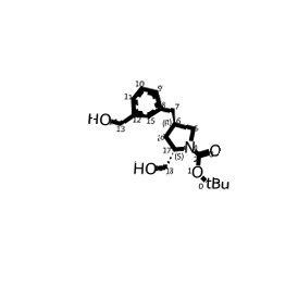 CC(C)(C)OC(=O)N1C[C@H](Cc2cccc(CO)c2)C[C@H]1CO